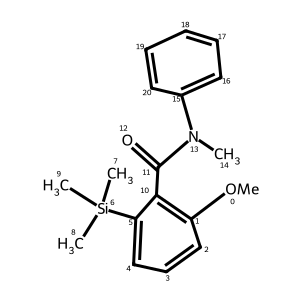 COc1cccc([Si](C)(C)C)c1C(=O)N(C)c1ccccc1